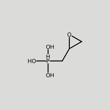 O[PH](O)(O)CC1CO1